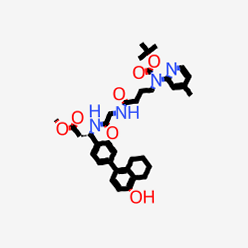 COC(=O)C[C@H](NC(=O)CNC(=O)CCCN(C(=O)OC(C)(C)C)c1cc(C)ccn1)c1ccc(-c2ccc(O)c3c2CCCC3)cc1